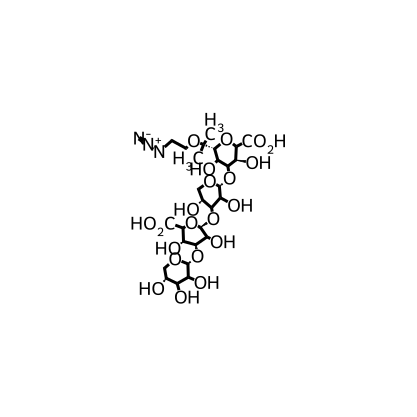 CC(C)(OCCN=[N+]=[N-])[C@@H]1OC(C(=O)O)[C@@H](O)C(O[C@H]2OC[C@@H](O)C(O[C@@H]3OC(C(=O)O)[C@@H](O)[C@H](O[C@H]4OC[C@@H](O)C(O)C4O)C3O)C2O)C1O